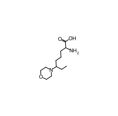 CCC(CCCC(N)C(=O)O)N1CCOCC1